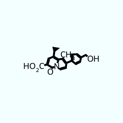 Cc1c(-c2ccc(CO)cc2)ccn2c(=O)c(C(=O)O)cc(C3CC3)c12